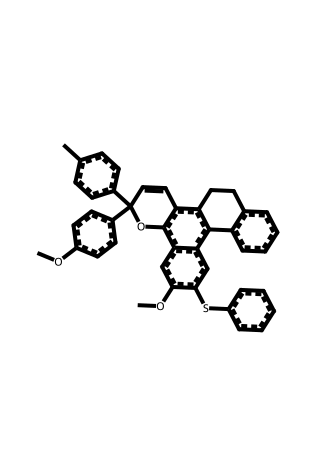 COc1ccc(C2(c3ccc(C)cc3)C=Cc3c4c(c5cc(Sc6ccccc6)c(OC)cc5c3O2)-c2ccccc2CC4)cc1